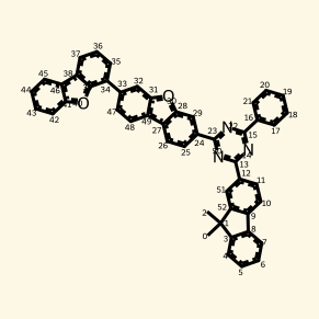 CC1(C)c2ccccc2-c2ccc(-c3nc(-c4ccccc4)nc(-c4ccc5c(c4)oc4cc(-c6cccc7c6oc6ccccc67)ccc45)n3)cc21